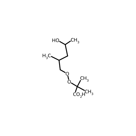 CC(O)CC(C)COOC(C)(C)C(=O)O